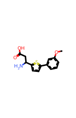 COc1cccc(-c2ccc(C(N)CC(=O)O)s2)c1